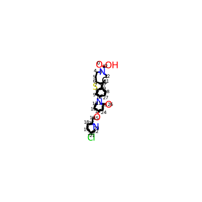 O=C(O)N1CCc2sc3cc(-n4ccc(OCc5ccc(Cl)cn5)cc4=O)ccc3c2CC1